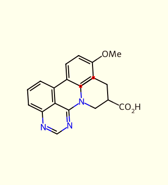 COc1ccc(-c2cccc3ncnc(N4CCCC(C(=O)O)C4)c23)cc1